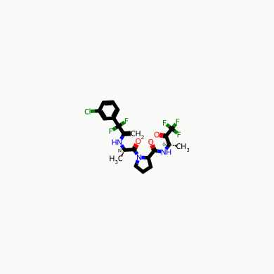 C=C(N[C@@H](C)C(=O)N1CCCC1C(=O)N[C@@H](C)C(=O)C(F)(F)F)C(F)(F)c1cccc(Cl)c1